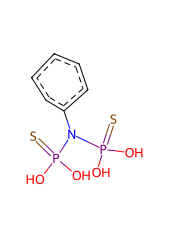 OP(O)(=S)N(c1ccccc1)P(O)(O)=S